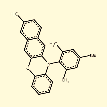 Cc1ccc2cc3c(cc2c1)Oc1ccccc1N3c1c(C)cc(C(C)(C)C)cc1C